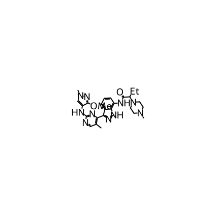 CCC(C(=O)Nc1cccc2c(-c3nc(Nc4cn(C)nc4OC)ncc3C)n[nH]c12)N1CCN(C)CC1